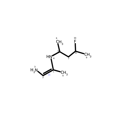 C/C(=C/N)NC(C)CC(C)F